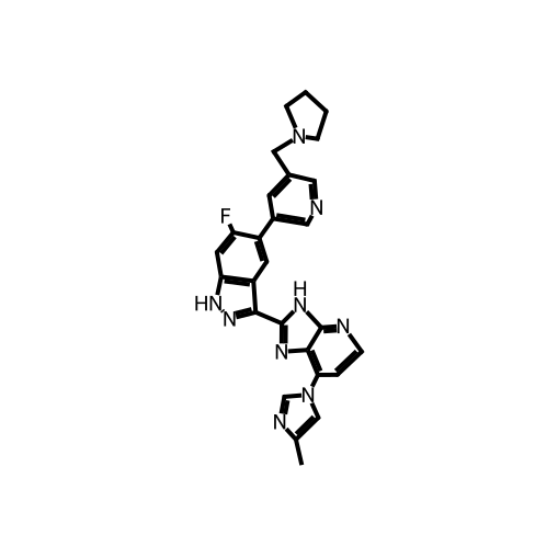 Cc1cn(-c2ccnc3[nH]c(-c4n[nH]c5cc(F)c(-c6cncc(CN7CCCC7)c6)cc45)nc23)cn1